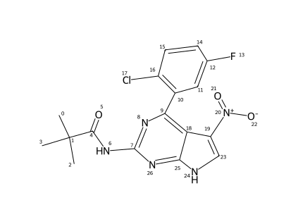 CC(C)(C)C(=O)Nc1nc(-c2cc(F)ccc2Cl)c2c([N+](=O)[O-])c[nH]c2n1